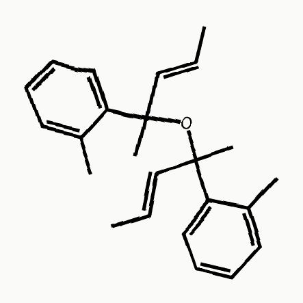 CC=CC(C)(OC(C)(C=CC)c1ccccc1C)c1ccccc1C